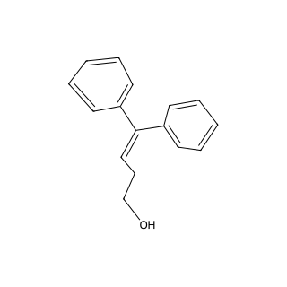 OCCC=C(c1ccccc1)c1ccccc1